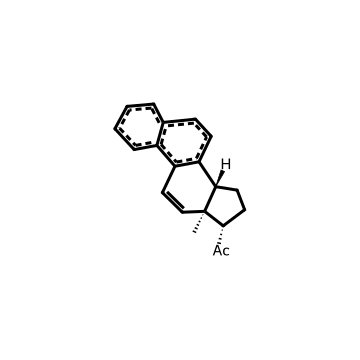 CC(=O)[C@H]1CC[C@H]2c3ccc4ccccc4c3C=C[C@]12C